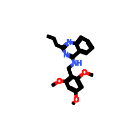 CCCc1nc(NCc2c(OC)cc(OC)cc2OC)c2ccccc2n1